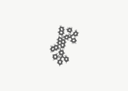 c1ccc(-c2c(-c3ccccc3)n(-c3ccccc3)c3cc(N(c4ccc5ccccc5c4)c4ccc5ccc6c(N(c7ccc8ccccc8c7)c7ccc8c(-c9ccccc9)c(-c9ccccc9)n(-c9ccccc9)c8c7)ccc7ccc4c5c76)ccc23)cc1